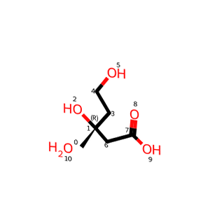 C[C@@](O)(CCO)CC(=O)O.O